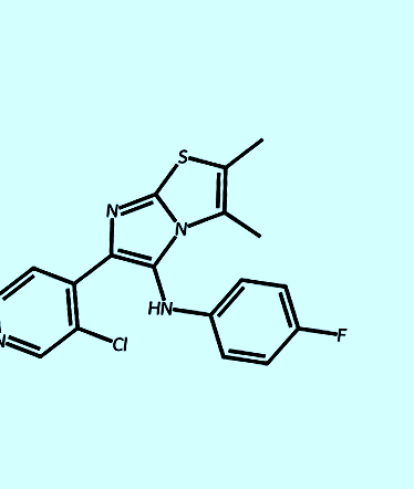 Cc1sc2nc(-c3ccncc3Cl)c(Nc3ccc(F)cc3)n2c1C